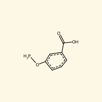 O=C(O)c1cccc(OP)c1